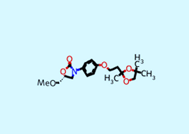 COC[C@H]1CN(c2ccc(OCCC3(C)OCC(C)(C)O3)cc2)C(=O)O1